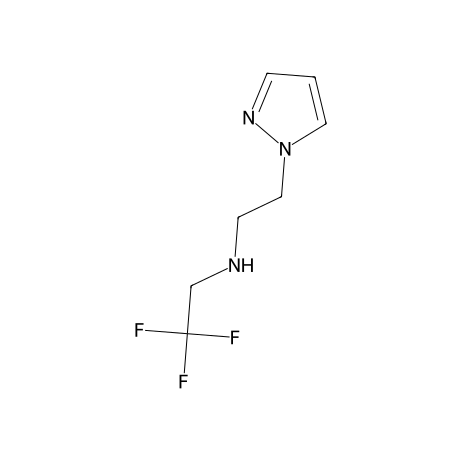 FC(F)(F)CNCCn1cccn1